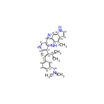 Cc1c(Nc2c(C#N)cnc3sc(-c4cccc(CN(C)C)c4)c(C(C)C)c23)ccc2[nH]ccc12